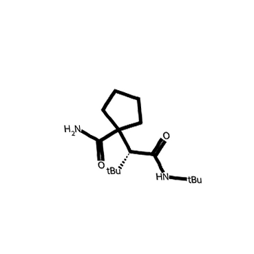 CC(C)(C)NC(=O)[C@H](C(C)(C)C)C1(C(N)=O)CCCC1